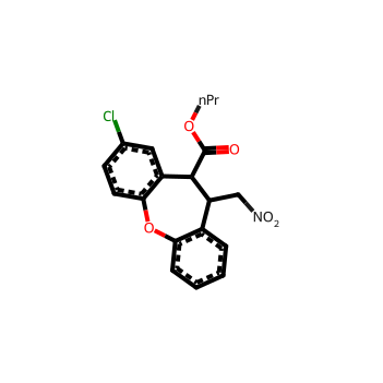 CCCOC(=O)C1c2cc(Cl)ccc2Oc2ccccc2C1C[N+](=O)[O-]